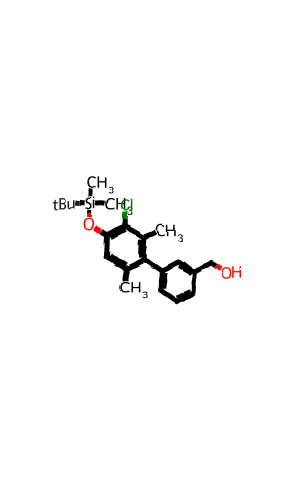 Cc1cc(O[Si](C)(C)C(C)(C)C)c(Cl)c(C)c1-c1cccc(CO)c1